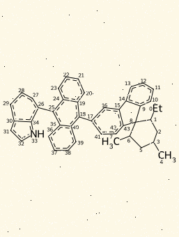 CCC1CC(C)CC(C)C12c1ccccc1-c1cc(-c3c4ccccc4c(-c4cccc5cc[nH]c45)c4ccccc34)ccc12